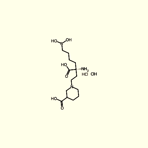 Cl.Cl.N[C@](CCCCB(O)O)(CCN1CCCC(C(=O)O)C1)C(=O)O